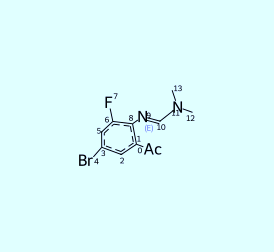 CC(=O)c1cc(Br)cc(F)c1/N=C/N(C)C